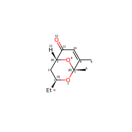 CC[C@H]1C[C@H]2O[C@@](C)(O1)C(C)=CC2=O